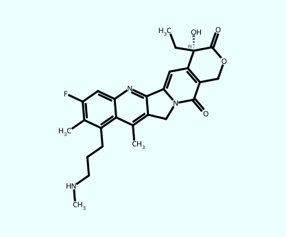 CC[C@@]1(O)C(=O)OCc2c1cc1n(c2=O)Cc2c-1nc1cc(F)c(C)c(CCCNC)c1c2C